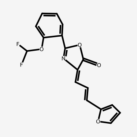 O=C1OC(c2ccccc2OC(F)F)=N/C1=C/C=C/c1ccco1